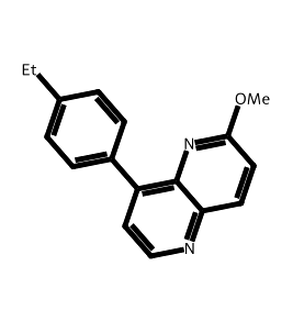 [CH2]Cc1ccc(-c2ccnc3ccc(OC)nc23)cc1